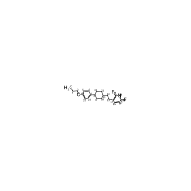 CCCOc1ccc(C2CCC(CCc3ccc(F)nc3F)CC2)cc1